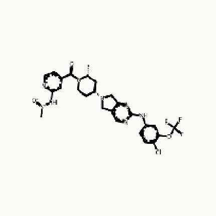 C[C@@H]1C[C@H](N2Cc3cnc(Nc4ccc(Cl)c(OC(F)(F)F)c4)nc3C2)CCN1C(=O)c1ccnc(N[S+](C)[O-])c1